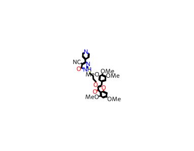 COc1cc(OC)c2c(=O)c(OCCCCSc3nc(-c4ccncc4)c(C#N)c(=O)[nH]3)c(-c3cc(OC)c(OC)c(OC)c3)oc2c1